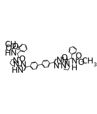 COC(=O)N[C@@H](C(=O)N1CCCN1c1nc(-c2ccc(-c3ccc(-c4c[nH]c(N5CCCN5C(=O)[C@H](NC(=O)OC)c5ccccc5)n4)cc3)cc2)c[nH]1)c1ccccc1